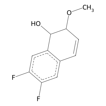 COC1C=Cc2cc(F)c(F)cc2C1O